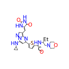 CCC(CN1CCOCC1)NC(=C=O)c1ccc(-c2cc(NC3CC3)n3ncc(/C=C4\NC(=O)NC4=O)c3n2)s1